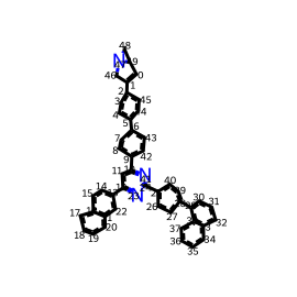 C1=C(c2ccc(-c3ccc(-c4cc(-c5ccc6ccccc6c5)nc(-c5ccc(-c6cccc7ccccc67)cc5)n4)cc3)cc2)CN2CC12